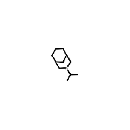 CC(C)N1CC2CCCC(C2)C1